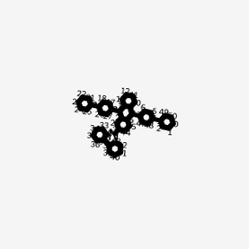 c1ccc(-c2ccc(-c3c4ccccc4c(-c4ccc(-c5ccccc5)cc4)c4cc(-n5c6ccccc6c6ccccc65)ccc34)cc2)cc1